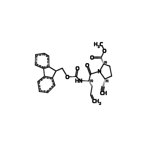 C#C[C@H]1CC[C@@H](C(=O)OC)N1C(=O)[C@H](CC=C)NC(=O)OCC1c2ccccc2-c2ccccc21